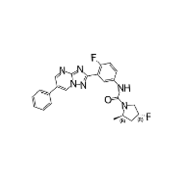 C[C@@H]1C[C@@H](F)CN1C(=O)Nc1ccc(F)c(-c2nc3ncc(-c4ccccc4)cn3n2)c1